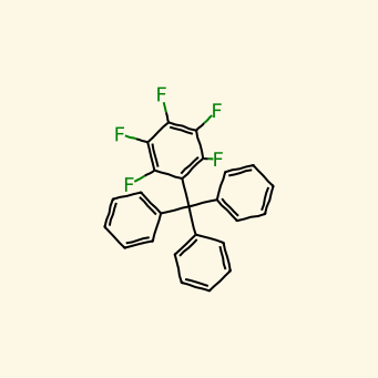 Fc1c(F)c(F)c(C(c2ccccc2)(c2ccccc2)c2ccccc2)c(F)c1F